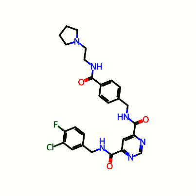 O=C(NCCN1CCCC1)c1ccc(CNC(=O)c2cc(C(=O)NCc3ccc(F)c(Cl)c3)ncn2)cc1